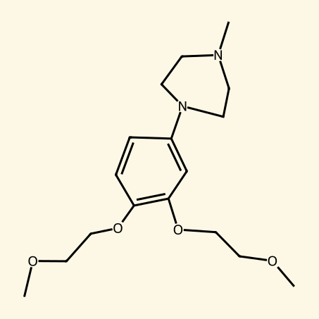 COCCOc1ccc(N2CCN(C)CC2)cc1OCCOC